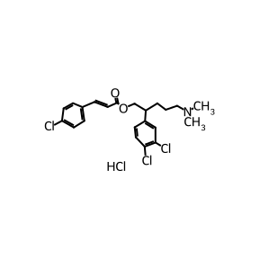 CN(C)CCCC(COC(=O)C=Cc1ccc(Cl)cc1)c1ccc(Cl)c(Cl)c1.Cl